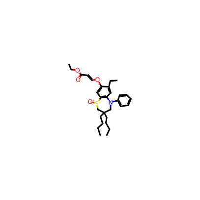 CCCCC1(CCCC)CN(c2ccccc2)c2cc(CC)c(O/C=C/C(=O)OCC)cc2[S+]([O-])C1